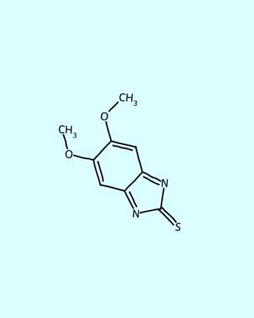 COc1cc2c(cc1OC)=NC(=S)N=2